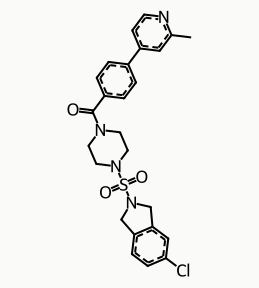 Cc1cc(-c2ccc(C(=O)N3CCN(S(=O)(=O)N4Cc5ccc(Cl)cc5C4)CC3)cc2)ccn1